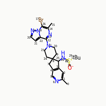 Cc1cc2c(cn1)CC1(CCN(c3nc(C)c(Br)n4nccc34)CC1)C2N[S@+]([O-])C(C)(C)C